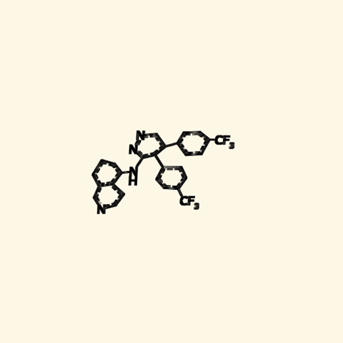 FC(F)(F)c1ccc(-c2cnnc(Nc3cccc4cnccc34)c2-c2ccc(C(F)(F)F)cc2)cc1